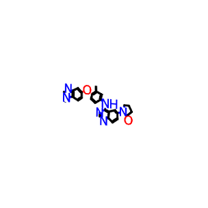 Cc1cc(Nc2ncnc3ccc(N4CCCC4=O)cc23)ccc1Oc1ccc2c(c1)ncn2C